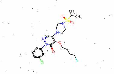 CC(C)S(=O)(=O)N1CCN(c2cnn(-c3cccc(Cl)c3)c(=O)c2OCCCCF)CC1